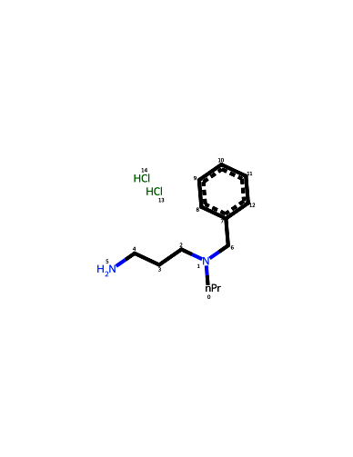 CCCN(CCCN)Cc1ccccc1.Cl.Cl